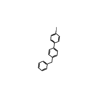 Ic1ccc(-c2ccc(Cc3ccccc3)cc2)cc1